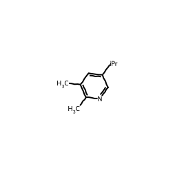 Cc1cc(C(C)C)cnc1C